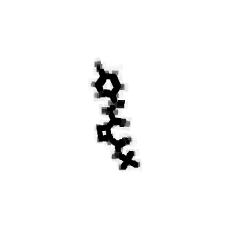 CC(C)(C)OC(=O)N1CCC1C(=O)NNc1ccc(F)cn1